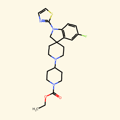 CCOC(=O)N1CCC(N2CCC3(CC2)CN(c2nccs2)c2ccc(F)cc23)CC1